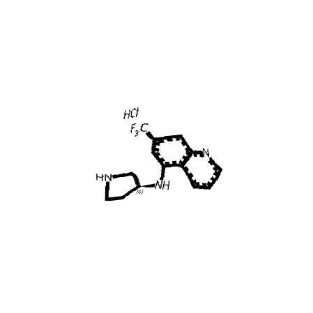 Cl.FC(F)(F)c1cc(N[C@H]2CCNC2)c2cccnc2c1